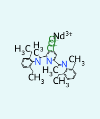 CCc1cccc(CC)c1N=C(C)c1cccc(C(C)=Nc2c(CC)cccc2CC)n1.[Cl-].[Cl-].[Cl-].[Nd+3]